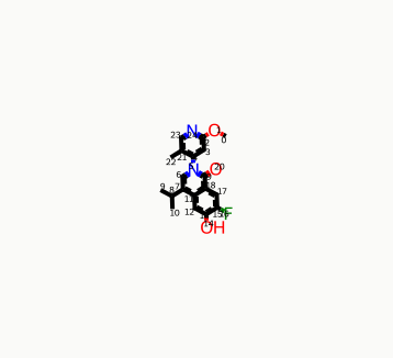 COc1cc(-n2cc(C(C)C)c3cc(O)c(F)cc3c2=O)c(C)cn1